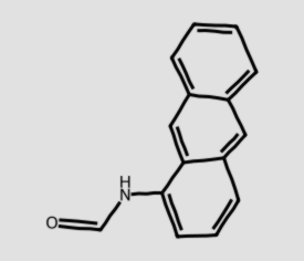 O=CNc1cccc2cc3ccccc3cc12